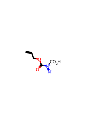 C=CCOC(=O)[N+](=[N-])C(=O)O